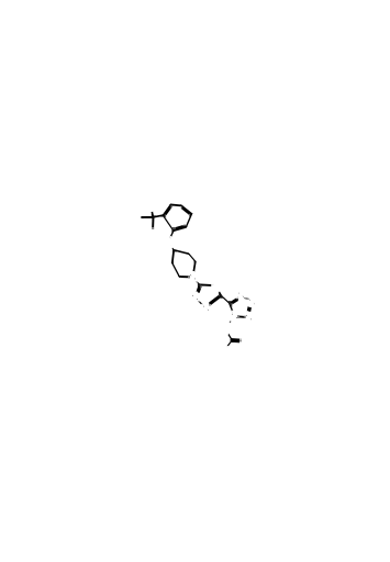 CC(=O)On1nnnc1-c1nnc(N2CCC(Oc3ccccc3C(F)(F)F)CC2)s1